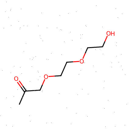 CC(=O)COCCOCCO